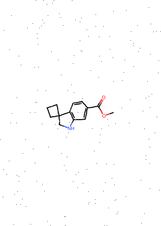 COC(=O)c1ccc2c(c1)NCC21CCC1